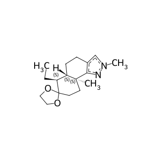 CC[C@H]1[C@@H]2CCc3cn(C)nc3[C@@]2(C)CCC12OCCO2